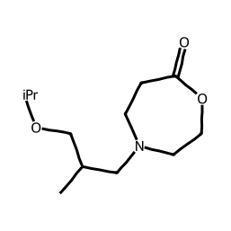 CC(COC(C)C)CN1CCOC(=O)CC1